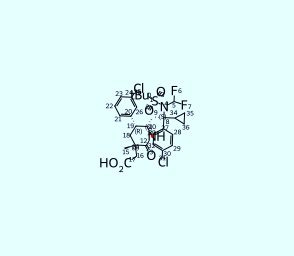 CC(C)(C)S(=O)(=O)N(C(F)F)[C@](C[C@@H]1NC(=O)[C@](C)(CC(=O)O)C[C@@H]1c1cccc(Cl)c1)(c1ccc(Cl)cc1)C1CC1